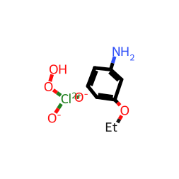 CCOc1cccc(N)c1.[O-][Cl+2]([O-])OO